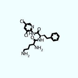 NCCC[C@H](N)C(=O)N[C@H](CCc1ccccc1)C(=O)Nc1ncc(Cl)cc1Cl